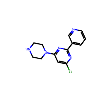 Clc1cc(N2CCNCC2)nc(-c2cccnc2)n1